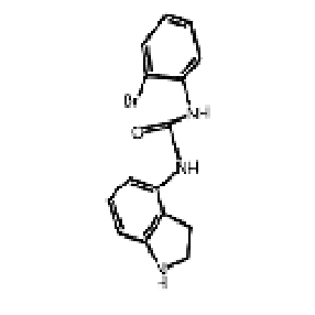 O=C(Nc1ccccc1Br)Nc1cccc2c1CCN2